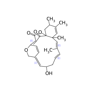 CC1=CC2(C)/C=C(C)/C=C/CC(O)/C=C3C=C/C(=C4\C(=O)OC2(CC1C)C4=O)OC/3